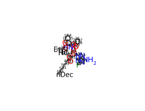 C#CC1(CO[P@@](=O)(NC(Cc2ccccc2)C(=O)OCC(CC)CC)Oc2ccccc2)OC(n2cnc3c(N)nc(F)nc32)CC1OC(=O)CCCCCCCCCCCCCCCCC